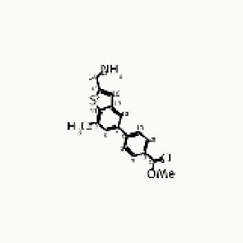 COC(=O)c1ccc(-c2cc(C)c3sc(CN)cc3c2)cc1